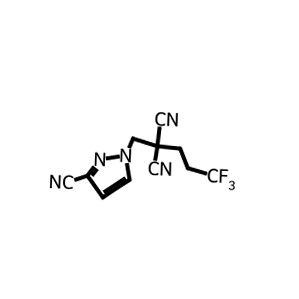 N#Cc1ccn(CC(C#N)(C#N)CCC(F)(F)F)n1